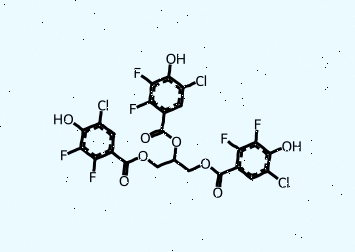 O=C(OCC(COC(=O)c1cc(Cl)c(O)c(F)c1F)OC(=O)c1cc(Cl)c(O)c(F)c1F)c1cc(Cl)c(O)c(F)c1F